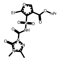 CCCOC(=O)c1coc(CC)c1S(=O)(=O)NC(=O)n1nc(C)n(C)c1=O